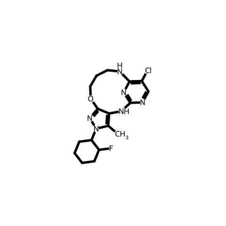 Cc1c2c(nn1C1CCCCC1F)OCCCNc1nc(ncc1Cl)N2